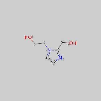 OCCn1ccnc1CO